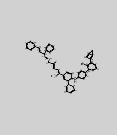 C/C(=C\C=C(/N)C1=CC(C2C=CC=CC2)C(Nc2ccc(-c3cccc(C4=C5CC5=C4)c3O)cc2)C=C1)C/N=N/C(/C=C/c1ccccc1)c1ccccc1